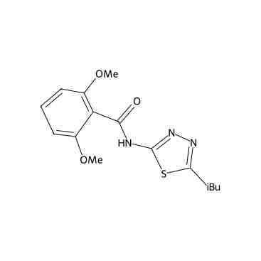 CCC(C)c1nnc(NC(=O)c2c(OC)cccc2OC)s1